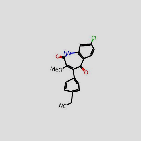 COc1c(-c2ccc(CC#N)cc2)c(=O)c2ccc(Cl)cc2[nH]c1=O